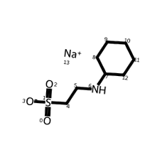 O=S(=O)([O-])CCNC1CCCCC1.[Na+]